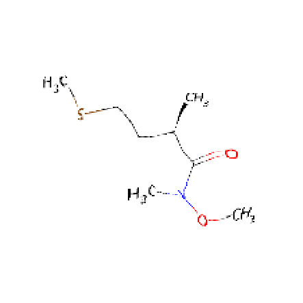 CON(C)C(=O)[C@H](C)CCSC